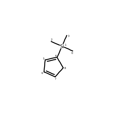 C[Si](C)(C)C1=CC=CC1